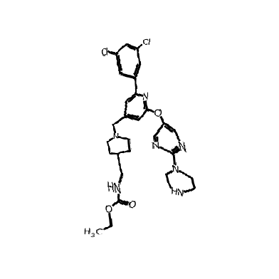 CCOC(=O)NCC1CCN(Cc2cc(Oc3cnc(N4CCNCC4)nc3)nc(-c3cc(Cl)cc(Cl)c3)c2)CC1